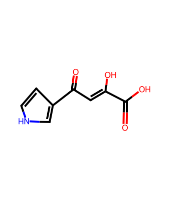 O=C(O)C(O)=CC(=O)c1cc[nH]c1